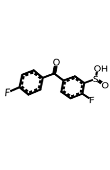 O=C(c1ccc(F)cc1)c1ccc(F)c(S(=O)O)c1